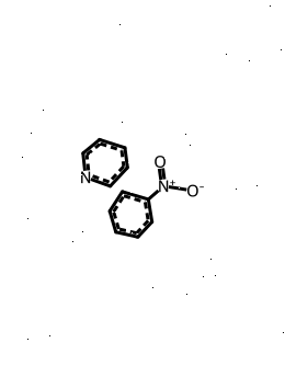 O=[N+]([O-])c1ccccc1.c1ccncc1